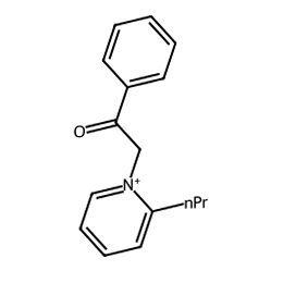 CCCc1cccc[n+]1CC(=O)c1ccccc1